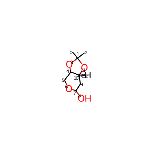 CC1(C)OC2COC(O)C[C@H]2O1